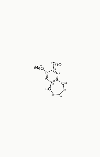 COc1cc2c(cc1C=O)OCCCO2